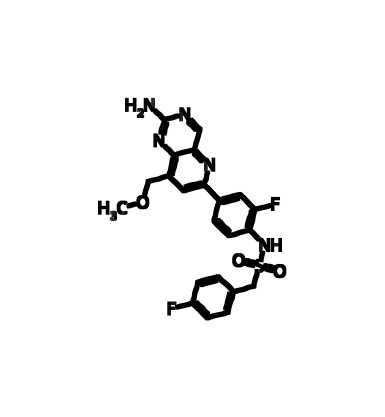 COCc1cc(-c2ccc(NS(=O)(=O)Cc3ccc(F)cc3)c(F)c2)nc2cnc(N)nc12